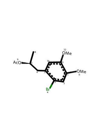 COc1cc(Br)c(C[C@H](C)OC(C)=O)cc1OC